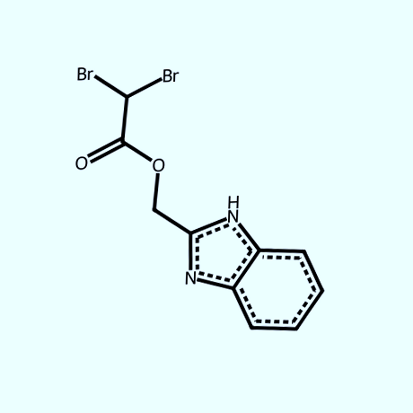 O=C(OCc1nc2ccccc2[nH]1)C(Br)Br